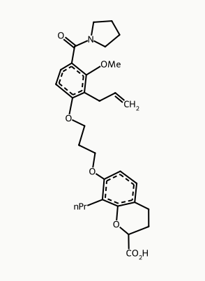 C=CCc1c(OCCCOc2ccc3c(c2CCC)OC(C(=O)O)CC3)ccc(C(=O)N2CCCC2)c1OC